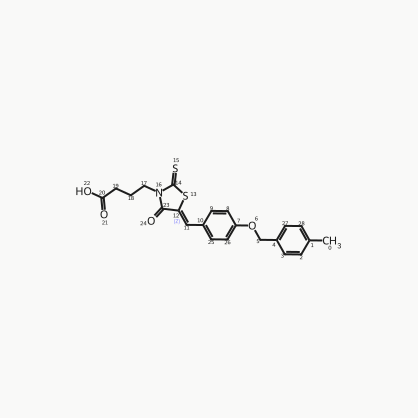 Cc1ccc(COc2ccc(/C=C3\SC(=S)N(CCCC(=O)O)C3=O)cc2)cc1